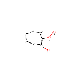 OOC1CCCCCC1O